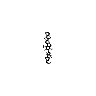 Fc1c(F)c(-c2cc3sc4c5sccc5sc4c3s2)c(F)c(F)c1-c1cc2sc3c4sccc4sc3c2s1